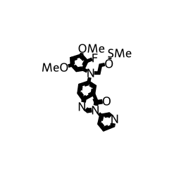 COc1cc(OC)c(F)c(N(CCOSC)c2ccc3ncn(-c4cccnc4)c(=O)c3c2)c1